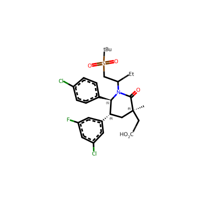 CCC(CS(=O)(=O)C(C)(C)C)N1C(=O)[C@@](C)(CC(=O)O)C[C@H](c2cc(F)cc(Cl)c2)[C@H]1c1ccc(Cl)cc1